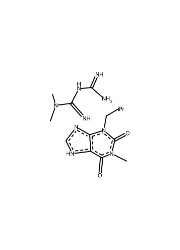 CC(C)Cn1c(=O)n(C)c(=O)c2[nH]cnc21.CN(C)C(=N)NC(=N)N